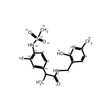 CC(C(=O)NCc1ccc(C(F)(F)F)nc1O)c1ccc(NS(C)(=O)=O)c(F)c1